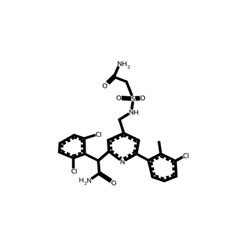 Cc1c(Cl)cccc1-c1cc(CNS(=O)(=O)CC(N)=O)cc(C(C(N)=O)c2c(Cl)cccc2Cl)n1